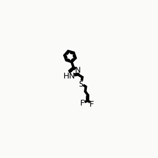 FC(F)=CCCSCc1nc(-c2ccccc2)c[nH]1